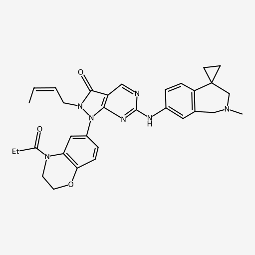 C/C=C\Cn1c(=O)c2cnc(Nc3ccc4c(c3)CN(C)CC43CC3)nc2n1-c1ccc2c(c1)N(C(=O)CC)CCO2